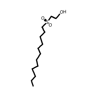 CCCCCCCCCCCCS(=O)(=O)CCO